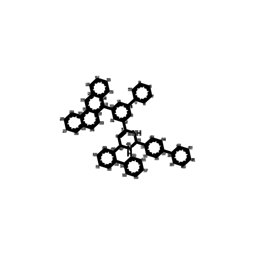 C1=C(c2cc(-c3ccccc3)cc(-c3c4ccccc4cc4c3ccc3ccccc34)c2)NC(c2ccc(-c3ccccc3)cc2)NC1c1ccccc1-c1ccccc1